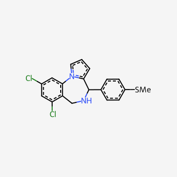 CSc1ccc(C2NCc3c(Cl)cc(Cl)cc3-n3cccc32)cc1